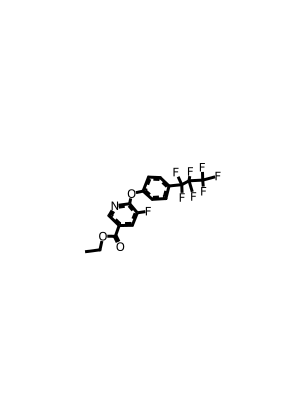 CCOC(=O)c1cnc(Oc2ccc(C(F)(F)C(F)(F)C(F)(F)F)cc2)c(F)c1